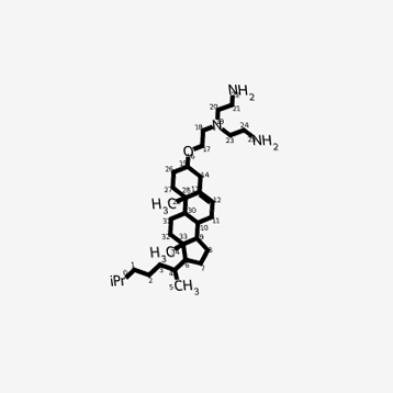 CC(C)CCCC(C)C1CCC2C3CC=C4CC(OCCN(CCN)CCN)CCC4(C)C3CCC12C